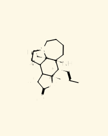 CC=C[C@H]1[C@]2(C)OC(=O)[C@H](C)C2[C@H]2CCN3CCCC[C@@]1(N)[C@]23C=N